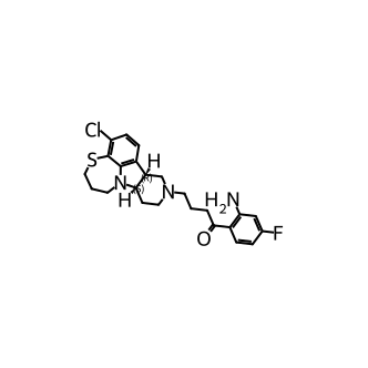 Nc1cc(F)ccc1C(=O)CCCN1CC[C@H]2[C@@H](C1)c1ccc(Cl)c3c1N2CCCS3